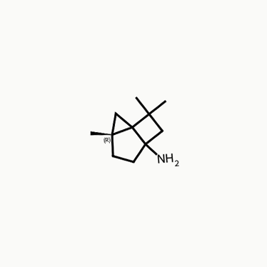 CC1(C)CC2(N)CC[C@]3(C)CC123